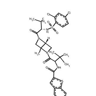 CC(C)[C@H](NS(=O)(=O)c1ccc(Cl)cc1Cl)C(=O)N1CC2(C)[C@H]1CN2C(=O)C(NC(=O)c1cc2ccccc2s1)C(C)(C)C